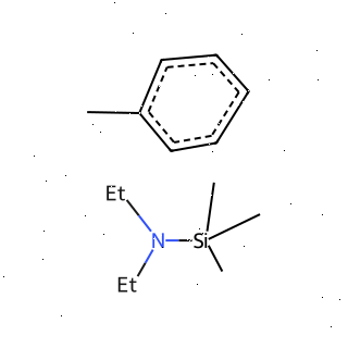 CCN(CC)[Si](C)(C)C.Cc1ccccc1